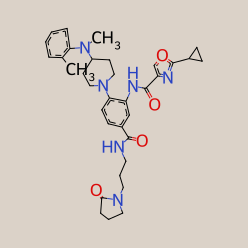 Cc1ccccc1N(C)C1CCN(c2ccc(C(=O)NCCCN3CCCC3=O)cc2NC(=O)c2coc(C3CC3)n2)CC1